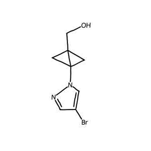 OCC12CC1(n1cc(Br)cn1)C2